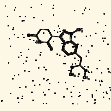 COC(Cc1ccc2c(C3CCC(=O)NC3=O)nn(C)c2c1)OC